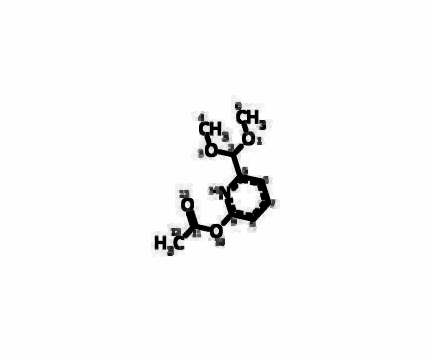 COC(OC)c1cccc(OC(C)=O)n1